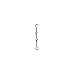 [Cl][Y][Ir][Cl]